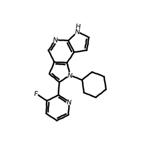 Fc1cccnc1-c1cc2cnc3[nH]ccc3c2n1C1CCCCC1